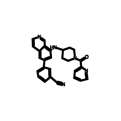 N#Cc1cccc(-c2cc(NC3CCN(C(=O)c4ccccn4)CC3)c3cnccc3c2)c1